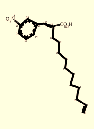 C=CCCCCCCCCCC(=Cc1cccc([N+](=O)[O-])c1)C(=O)O